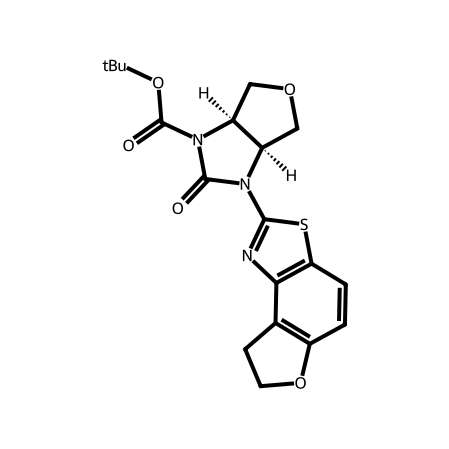 CC(C)(C)OC(=O)N1C(=O)N(c2nc3c4c(ccc3s2)OCC4)[C@@H]2COC[C@@H]21